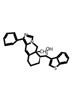 C[C@]12Cn3cnc(-c4ccccc4)c3C=C1CCC[C@@H]2[C@H](O)c1csc2ccccc12